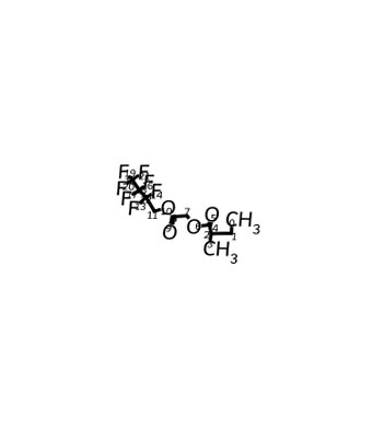 CCC(C)C(=O)OCC(=O)OCC(F)(F)C(F)(F)C(F)(F)F